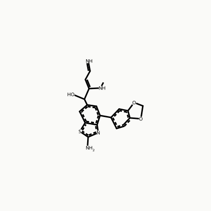 CN/C(=C\C=N)C(O)c1cc(-c2ccc3c(c2)OCO3)c2nc(N)sc2c1